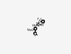 COc1cc(Nc2nc(Oc3ccccc3C(F)(F)F)n(C(C)C)n2)ccc1-c1ccnc(C)c1